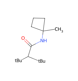 CC1(NC(=O)C(C(C)(C)C)C(C)(C)C)CCC1